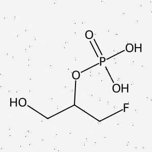 O=P(O)(O)OC(CO)CF